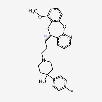 COc1cccc2c1C/C(=C/CCN1CCC(O)(c3ccc(F)cc3)CC1)c1cccnc1O2